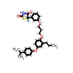 CCCc1cc(Oc2ccc(C(C)C)cc2)ccc1OCCCOc1cccc(C2(F)SC(=O)NC2=O)c1